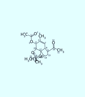 CC(=O)OC1C(C)=CC2C(C(C)=O)CCC(C)C23OC(C)(C)OC13